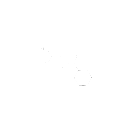 CCCCC(CC)C[S+]([O-])[S+]([O-])C1CCCCC1